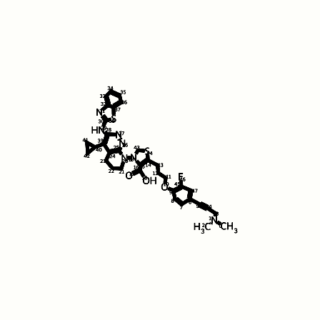 CN(C)CC#Cc1ccc(OCCCC2=C(C(=O)O)N(N3CCCc4c3nnc(Nc3nc5ccccc5s3)c4C3CC3)CS2)c(F)c1